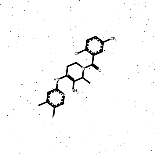 Cc1cc(NC2=C(N)C(C)N(C(=O)c3cc(C(F)(F)F)ccc3Cl)CC2)ncc1F